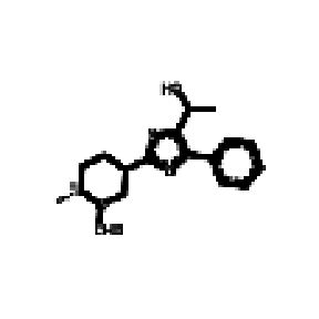 CC(O)c1nc(C2CC[C@@H](C)N(C=O)C2)oc1-c1ccccc1